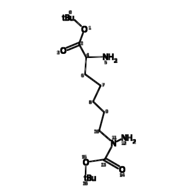 CC(C)(C)OC(=O)C(N)CCCCCN(N)C(=O)OC(C)(C)C